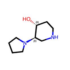 O[C@@H]1CCNC[C@H]1N1CCCC1